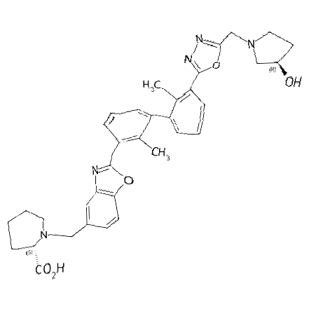 Cc1c(-c2nnc(CN3CC[C@@H](O)C3)o2)cccc1-c1cccc(-c2nc3cc(CN4CCCC[C@H]4C(=O)O)ccc3o2)c1C